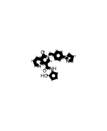 O=C(N[C@H]1CCC[C@@H]1O)c1cn(Cc2ccc(-n3cccn3)cc2)c(=O)c2cccnc12